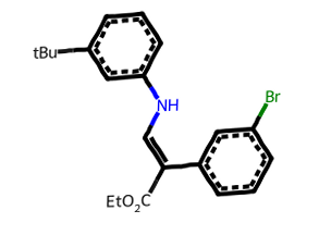 CCOC(=O)C(=CNc1cccc(C(C)(C)C)c1)c1cccc(Br)c1